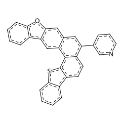 c1cncc(-c2cc3cc4oc5ccccc5c4cc3c3c2ccc2c4ccccc4sc23)c1